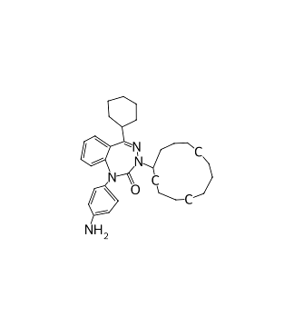 Nc1ccc(N2C(=O)N(C3CCCCCCCCCCC3)N=C(C3CCCCC3)c3ccccc32)cc1